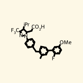 COc1ccc(F)c(-c2ccc(Cc3ccc(N4N=C(C(F)(F)F)C(C(C)C)C4CC(=O)O)cc3)c(C)c2)c1